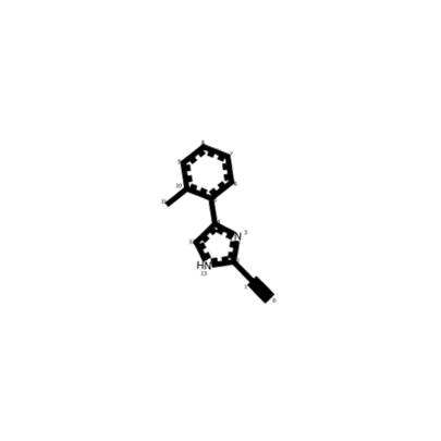 C#Cc1nc(-c2ccccc2C)c[nH]1